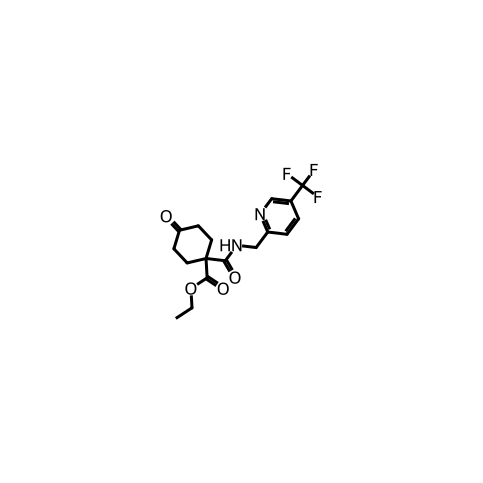 CCOC(=O)C1(C(=O)NCc2ccc(C(F)(F)F)cn2)CCC(=O)CC1